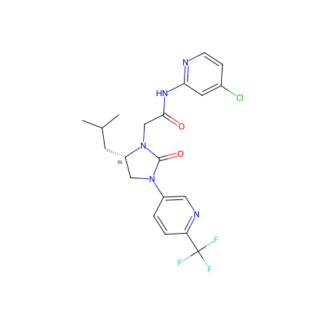 CC(C)C[C@H]1CN(c2ccc(C(F)(F)F)nc2)C(=O)N1CC(=O)Nc1cc(Cl)ccn1